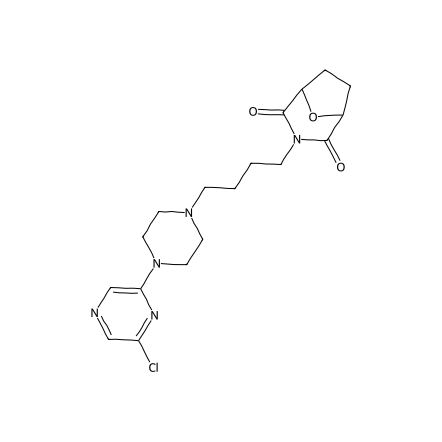 O=C1C2CCC(O2)C(=O)N1CCCCN1CCN(c2cncc(Cl)n2)CC1